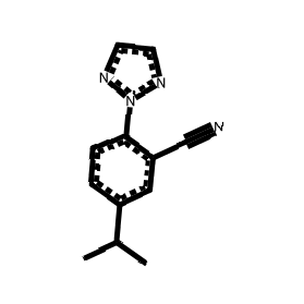 CC(C)c1ccc(-n2nccn2)c(C#N)c1